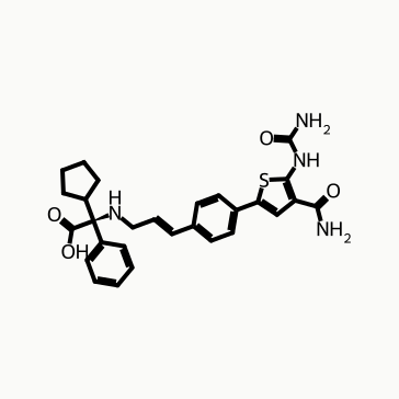 NC(=O)Nc1sc(-c2ccc(C=CCN[C@](C(=O)O)(c3ccccc3)C3CCCC3)cc2)cc1C(N)=O